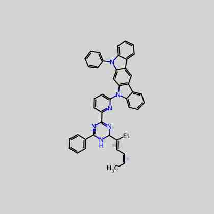 C/C=C\C=C(/CC)C1N=C(c2cccc(-n3c4ccccc4c4cc5c6ccccc6n(-c6ccccc6)c5cc43)n2)N=C(c2ccccc2)N1